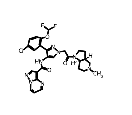 CN1CC[C@@H]2[C@H](CCN2C(=O)Cn2cc(NC(=O)c3cnn4cccnc34)c(-c3cc(Cl)ccc3OC(F)F)n2)C1